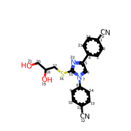 N#Cc1ccc(-c2cn(-c3ccc(C#N)cc3)c(SCC(O)CO)n2)cc1